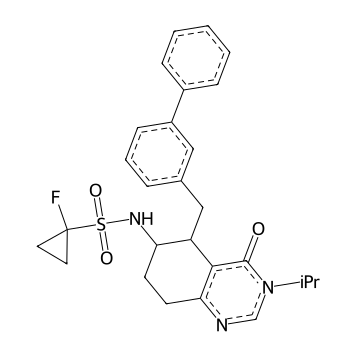 CC(C)n1cnc2c(c1=O)C(Cc1cccc(-c3ccccc3)c1)C(NS(=O)(=O)C1(F)CC1)CC2